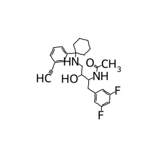 C#Cc1cccc(C2(NCC(O)C(Cc3cc(F)cc(F)c3)NC(C)=O)CCCCC2)c1